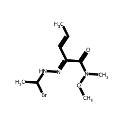 C/C=C/C(=N\NC(C)Br)C(=O)N(C)OC